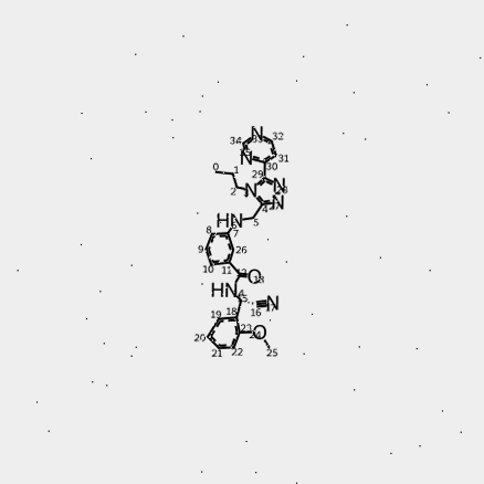 CCCn1c(CNc2cccc(C(=O)N[C@H](C#N)c3ccccc3OC)c2)nnc1-c1ccncn1